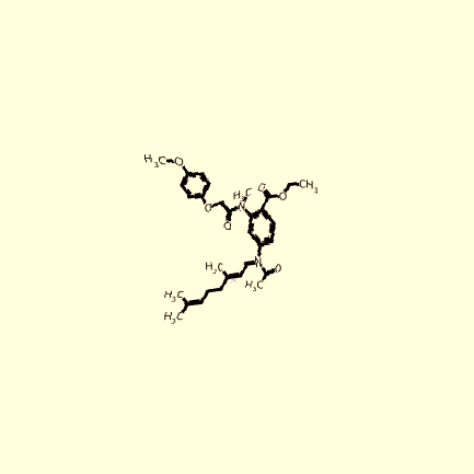 CCOC(=O)c1ccc(N(C/C=C(\C)CCC=C(C)C)C(C)=O)cc1N(C)C(=O)COc1ccc(OC)cc1